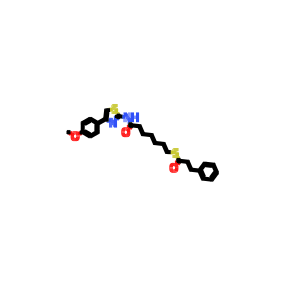 COc1ccc(-c2csc(NC(=O)CCCCCCSC(=O)CCc3ccccc3)n2)cc1